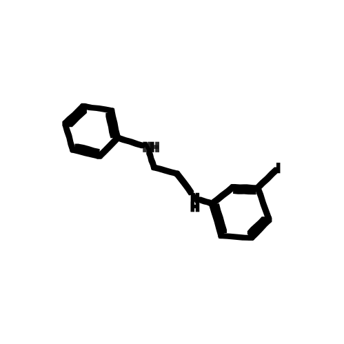 Ic1cccc(NCCNc2ccccc2)c1